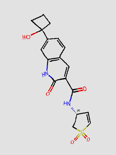 O=C(N[C@@H]1C=CS(=O)(=O)C1)c1cc2ccc(C3(O)CCC3)cc2[nH]c1=O